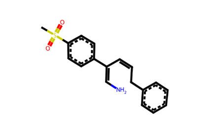 CS(=O)(=O)c1ccc(C(/C=C\Cc2ccccc2)=C/N)cc1